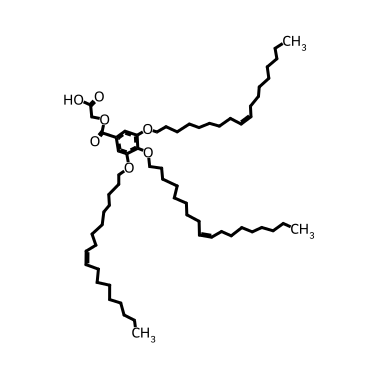 CCCCCCCC/C=C\CCCCCCCCOc1cc(C(=O)OCC(=O)O)cc(OCCCCCCCC/C=C\CCCCCCCC)c1OCCCCCCCC/C=C\CCCCCCCC